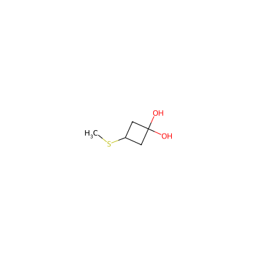 CSC1CC(O)(O)C1